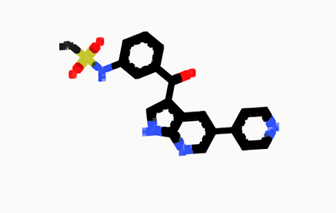 CCCS(=O)(=O)Nc1cccc(C(=O)c2c[nH]c3ncc(-c4ccncc4)cc23)c1